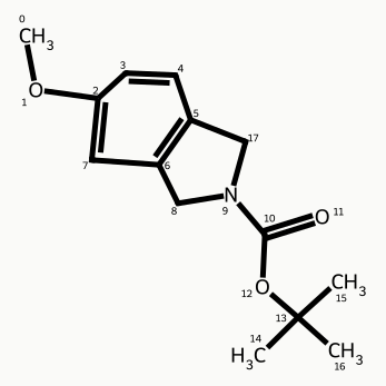 COc1ccc2c(c1)CN(C(=O)OC(C)(C)C)C2